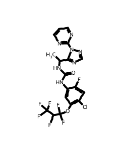 CC(NC(=O)Nc1cc(OC(F)(F)C(F)C(F)(F)F)c(Cl)cc1F)c1ncnn1-c1ncccn1